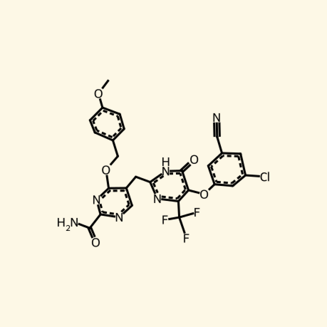 COc1ccc(COc2nc(C(N)=O)ncc2Cc2nc(C(F)(F)F)c(Oc3cc(Cl)cc(C#N)c3)c(=O)[nH]2)cc1